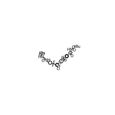 CC(C)(C)OC(=O)NCC(=O)NCC1CCC(C(F)(F)c2cc(Cl)nc(N3CCN(S(=O)(=O)c4ccc(N5C[C@H](NC(=O)OC(C)(C)C)CC5=O)cc4)CC3)c2)CC1